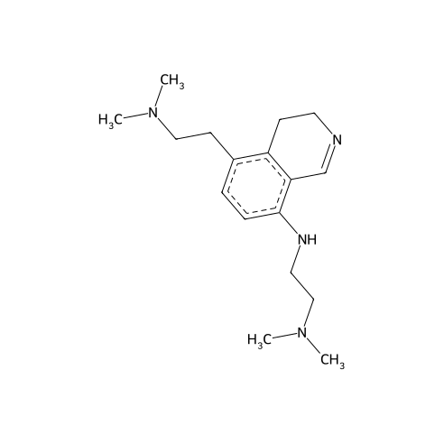 CN(C)CCNc1ccc(CCN(C)C)c2c1C=NCC2